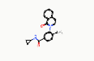 Cc1ccc(C(=O)NC2CC2)cc1-n1ccc2ccccc2c1=O